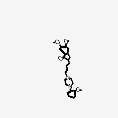 COc1cc2c(cc1OC)C(=O)C(CCCCN1CCN(c3ccccc3OC)CC1)C2